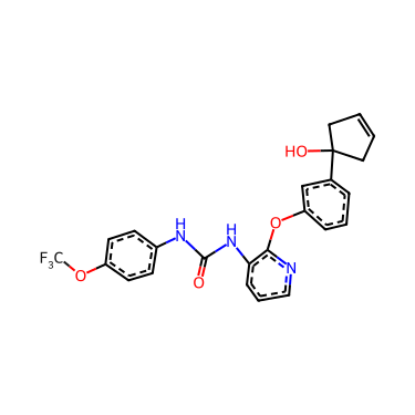 O=C(Nc1ccc(OC(F)(F)F)cc1)Nc1cccnc1Oc1cccc(C2(O)CC=CC2)c1